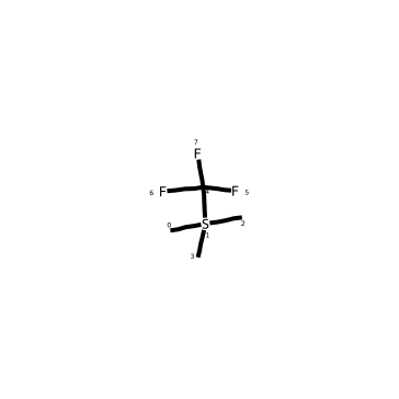 CS(C)(C)C(F)(F)F